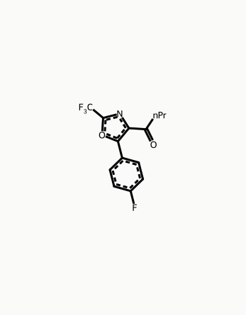 CCCC(=O)c1nc(C(F)(F)F)oc1-c1ccc(F)cc1